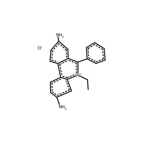 CC[n+]1c(-c2ccccc2)c2cc(N)ccc2c2ccc(N)cc21.[Cl-]